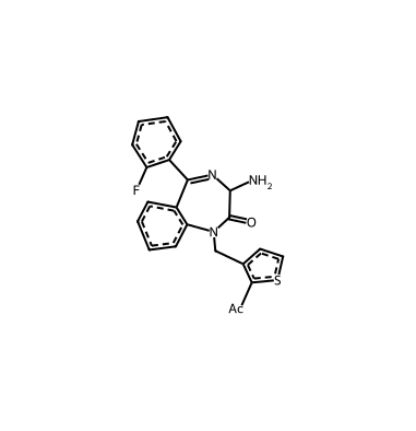 CC(=O)c1sccc1CN1C(=O)C(N)N=C(c2ccccc2F)c2ccccc21